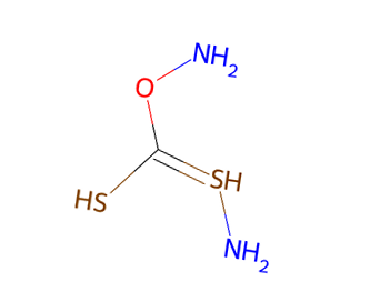 NOC(S)=[SH]N